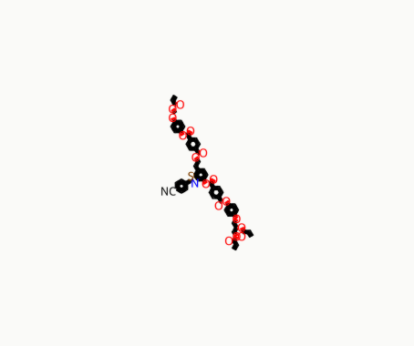 C=CC(=O)OCOc1ccc(OC(=O)C2CCC(C(=O)OCCc3ccc(OC(=O)C4CCC(C(=O)Oc5ccc(OCC(COC(=O)C=C)OC(=O)C=C)cc5)CC4)c4nc(-c5ccc(C#N)cc5)sc34)CC2)cc1